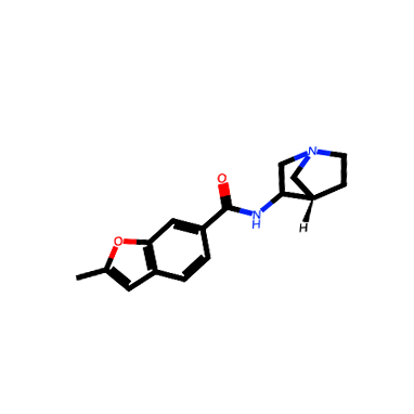 Cc1cc2ccc(C(=O)NC3CN4CC[C@H]3C4)cc2o1